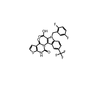 O=C(O)c1c(-n2c(=O)[nH]c3sccc3c2=O)c2cc(C(F)(F)F)ccc2n1Cc1cc(F)ccc1F